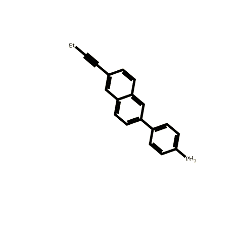 CCC#Cc1ccc2cc(-c3ccc(P)cc3)ccc2c1